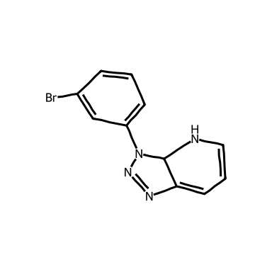 Brc1cccc(N2N=NC3=CC=CNC32)c1